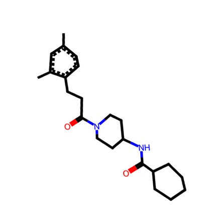 Cc1ccc(CCC(=O)N2CCC(NC(=O)C3CCCCC3)CC2)c(C)c1